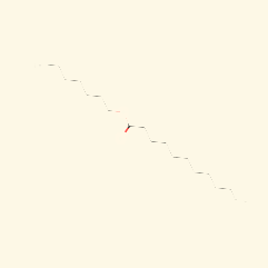 CCCCCCCCCCCCCCCCOC(=O)CCCCCCCCCC(C)C